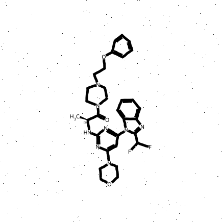 C[C@H](Nc1nc(N2CCOCC2)cc(-n2c(C(F)F)nc3ccccc32)n1)C(=O)N1CCN(CCOc2ccccc2)CC1